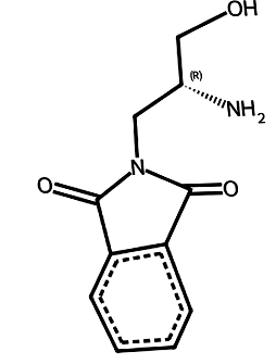 N[C@@H](CO)CN1C(=O)c2ccccc2C1=O